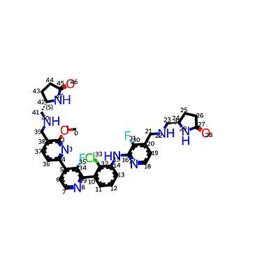 COc1nc(-c2ccnc(-c3cccc(Nc4nccc(CNC[C@H]5CCC(=O)N5)c4F)c3Cl)c2F)ccc1CNC[C@@H]1CCC(=O)N1